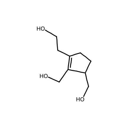 OCCC1=C(CO)C(CO)CC1